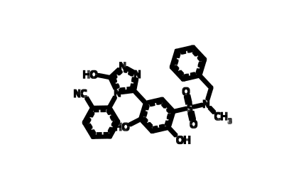 CN(Cc1ccccc1)S(=O)(=O)c1cc(-c2nnc(O)n2-c2ccccc2C#N)c(O)cc1O